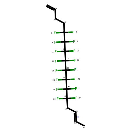 C=CCCC(F)(F)C(F)(F)C(F)(F)C(F)(F)C(F)(F)C(F)(F)C(F)(F)C(F)(F)C/C=C/C